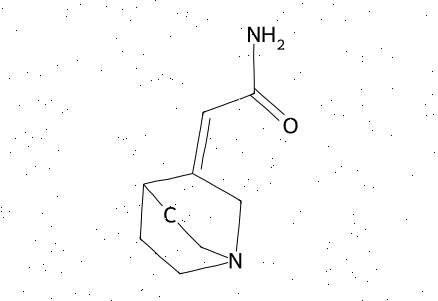 NC(=O)/C=C1\CN2CCC1CC2